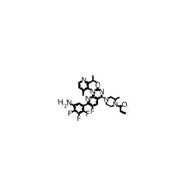 C=CC(=O)N1CCN(c2nc(=O)n(-c3c(C)ccnc3C(C)C)c3nc(-c4cc(N)c(F)c(F)c4F)c(F)cc23)CC1C